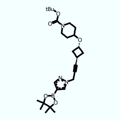 CC(C)(C)OC(=O)N1CCC(O[C@H]2C[C@H](C#CCn3cc(B4OC(C)(C)C(C)(C)O4)cn3)C2)CC1